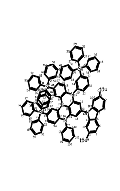 CC(C)(C)c1ccc2c3ccc(C(C)(C)C)cc3n(-c3cc4c5c(c3)N(c3cccc([Si](c6ccccc6)(c6ccccc6)c6ccccc6)c3)c3ccc([Si](c6ccccc6)(c6ccccc6)c6ccccc6)cc3B5c3cc([Si](c5ccccc5)(c5ccccc5)c5ccccc5)ccc3N4c3ccccc3)c2c1